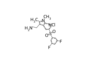 Cc1c(CCN)c2cc(S(=O)(=O)c3cc(F)cc(F)c3)ccc2n1C.Cl